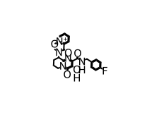 CN(C(=O)c1cccc[n+]1[O-])C1CCCn2c1nc(C(=O)NCc1ccc(F)cc1)c(O)c2=O